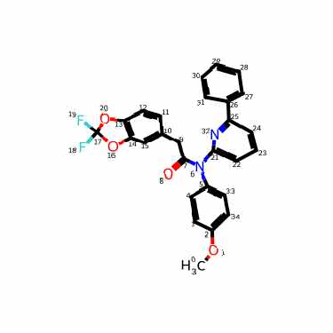 COc1ccc(N(C(=O)Cc2ccc3c(c2)OC(F)(F)O3)c2cccc(-c3ccccc3)n2)cc1